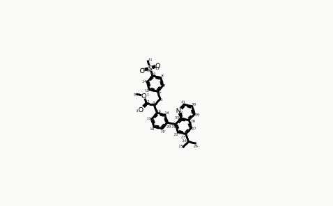 COC(=O)C(Cc1ccc(S(C)(=O)=O)cc1)c1cccc(-c2cc(C(C)C)cc3cccnc23)c1